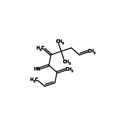 C=CCC(C)(C)C(=C)C(=N)C(=C)/C=C\C